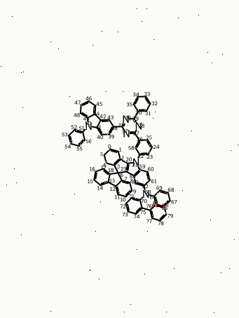 C1=CC2=C(CC1)C1(c3ccccc3-c3ccccc31)c1c2n(-c2cccc(-c3nc(-c4ccccc4)nc(-c4ccc5c(c4)c4ccccc4n5-c4ccccc4)n3)c2)c2ccc(N(c3ccccc3)c3ccccc3-c3ccccc3)cc12